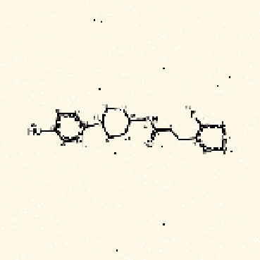 O=C(CCc1ccccc1F)NC1CCN(c2ccc(O)cn2)CC1